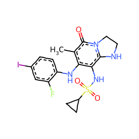 Cc1c(Nc2ccc(I)cc2F)c(NS(=O)(=O)C2CC2)c2n(c1=O)CCN2